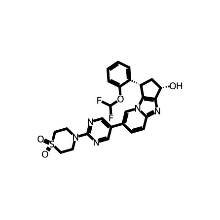 O=S1(=O)CCN(c2ncc(-c3ccc4nc5c(n4c3)[C@H](c3ccccc3OC(F)F)C[C@@H]5O)cn2)CC1